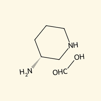 N[C@@H]1CCCNC1.O=CO